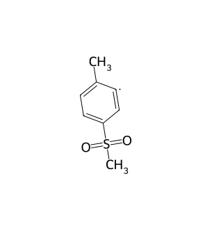 Cc1[c]cc(S(C)(=O)=O)cc1